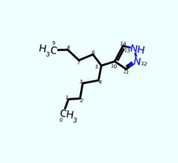 CCCCCC(CCCC)c1cn[nH]c1